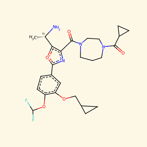 C[C@H](N)c1oc(-c2ccc(OC(F)F)c(OCC3CC3)c2)nc1C(=O)N1CCCN(C(=O)C2CC2)CC1